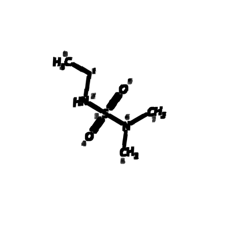 CCNS(=O)(=O)N(C)C